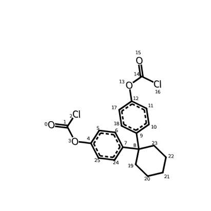 O=C(Cl)Oc1ccc(C2(c3ccc(OC(=O)Cl)cc3)CCCCC2)cc1